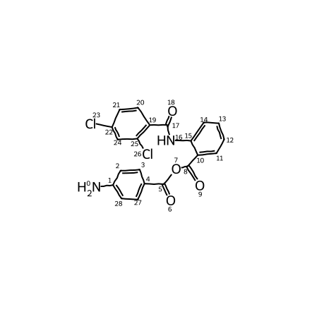 Nc1ccc(C(=O)OC(=O)c2ccccc2NC(=O)c2ccc(Cl)cc2Cl)cc1